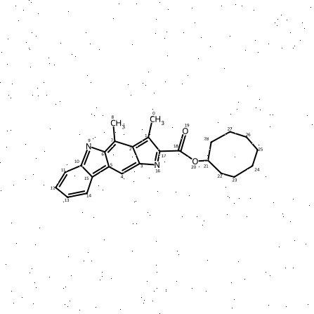 CC1=c2c(cc3c(c2C)N=c2ccccc2=3)N=C1C(=O)OC1CCCCCCC1